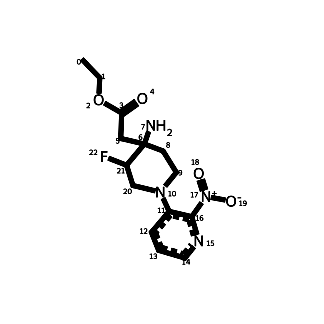 CCOC(=O)CC1(N)CCN(c2cccnc2[N+](=O)[O-])CC1F